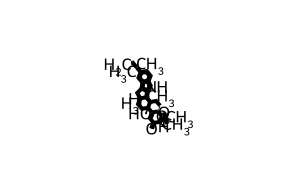 C=CC(C)(C)c1ccc2[nH]c3c(c2c1)C[C@@H]1CC[C@@]2(O)C4=CC(=O)[C@@H]5O[C@]4(CC[C@]2(C)[C@@]31C)OC5(C)C